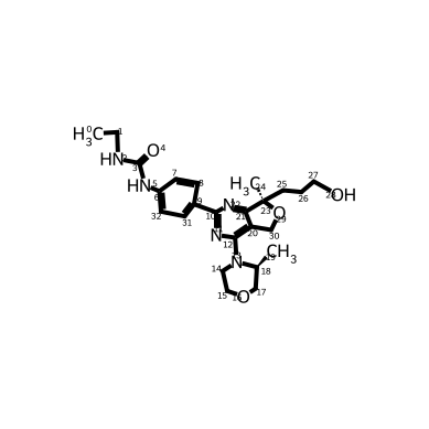 CCNC(=O)Nc1ccc(-c2nc(N3CCOC[C@@H]3C)c3c(n2)[C@@](C)(CCCO)OC3)cc1